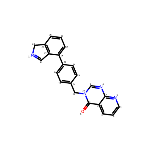 O=c1c2cccnc2ncn1Cc1ccc(-c2cccc3c2C=NC3)cc1